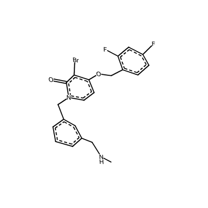 CNCc1cccc(Cn2ccc(OCc3ccc(F)cc3F)c(Br)c2=O)c1